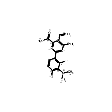 C=Cc1c(N)nc(-c2ccc(Cl)c(N(C)C)c2F)nc1C(C)=O